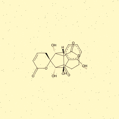 C[C@@H]1C[C@@]2(O)[C@@H](C(=O)O1)[C@]1(O)c3cccc(O)c3C(=O)[C@@]2(O)[C@@]12CC=CC(=O)O2